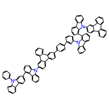 c1ccc(-n2c3ccccc3c3ccc(-c4cccc5c4c4ccccc4n5-c4ccc5c6ccc(-c7ccc(-c8cccc(-n9c%10ccccc%10c%10cccc(-c%11cccc%12c%13ccccc%13n(-c%13ccc%14c%15ccccc%15c%15ccccc%15c%14c%13)c%11%12)c%109)c8)cc7)cc6c6ccccc6c5c4)cc32)cc1